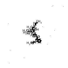 CCCCNC(=O)[C@H](C)C[C@H](O)[C@H](C[C@@H](CNC(=O)c1cn(CCOC)c2ccccc12)C(C)C)NC(=O)OC(C)(C)C